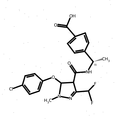 C[C@H](NC(=O)C1C(C(F)F)=NN(C)C1Oc1ccc(Cl)cc1)c1ccc(C(=O)O)cc1